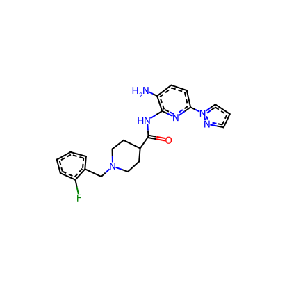 Nc1ccc(-n2cccn2)nc1NC(=O)C1CCN(Cc2ccccc2F)CC1